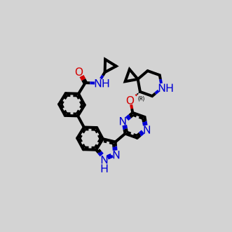 O=C(NC1CC1)c1cccc(-c2ccc3[nH]nc(-c4cncc(O[C@H]5CNCCC56CC6)n4)c3c2)c1